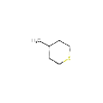 CC1CCSCC1